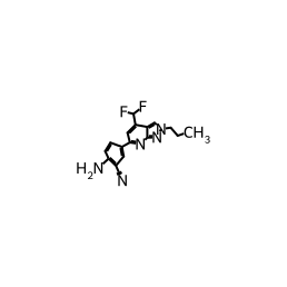 CCCn1cc2c(C(F)F)cc(-c3ccc(N)c(C#N)c3)nc2n1